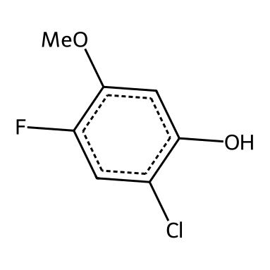 COc1cc(O)c(Cl)cc1F